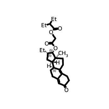 CCC(CC)C(=O)OCC(=O)O[C@H]1[C@@H](CC)C[C@H]2[C@@H]3CCC4=CC(=O)CCC4=C3CC[C@@]21C